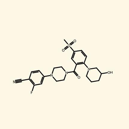 CS(=O)(=O)c1ccc(N2CCCC(O)C2)c(C(=O)N2CCN(c3ccc(C#N)c(F)c3)CC2)c1